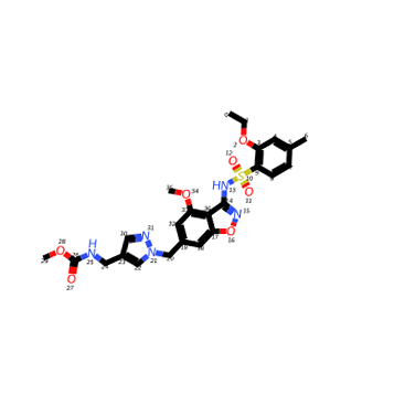 CCOc1cc(C)ccc1S(=O)(=O)Nc1noc2cc(Cn3cc(CNC(=O)OC)cn3)cc(OC)c12